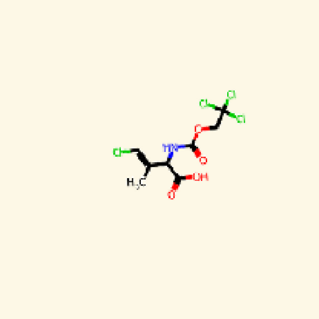 C/C(=C\Cl)C(NC(=O)OCC(Cl)(Cl)Cl)C(=O)O